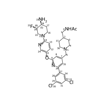 CC(=O)NCC1CCN(Cc2cc(Oc3ccc(N4CC[C@H](N)[C@H](F)C4)nc3)nc(-c3cc(Cl)cc(Cl)c3)c2)CC1